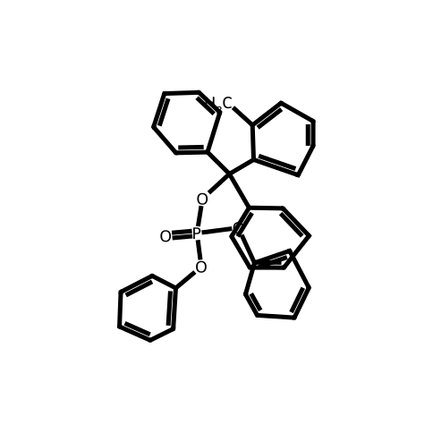 Cc1ccccc1C(OP(=O)(Oc1ccccc1)Oc1ccccc1)(c1ccccc1)c1ccccc1